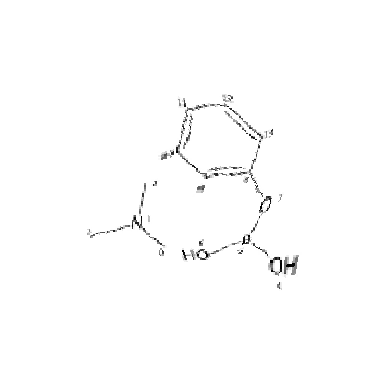 CN(C)C.OB(O)Oc1ccccc1